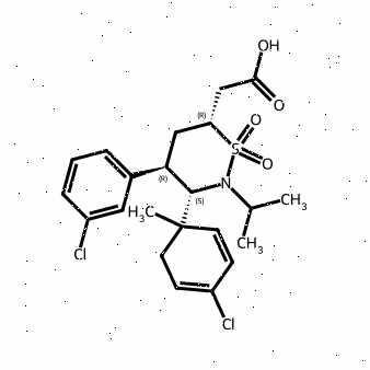 CC(C)N1[C@H](C2(C)C=CC(Cl)=CC2)[C@@H](c2cccc(Cl)c2)C[C@H](CC(=O)O)S1(=O)=O